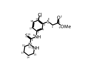 COC(=O)CSc1cc(NC(=S)N2CCCCN2)ccc1Cl